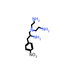 NCCN(CCN)CC(N)Cc1ccc([N+](=O)[O-])cc1